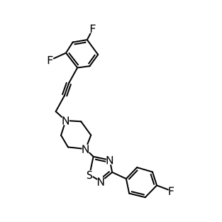 Fc1ccc(-c2nsc(N3CCN(CC#Cc4ccc(F)cc4F)CC3)n2)cc1